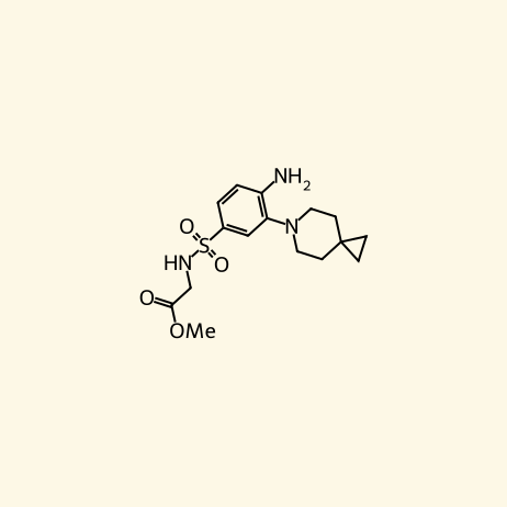 COC(=O)CNS(=O)(=O)c1ccc(N)c(N2CCC3(CC2)CC3)c1